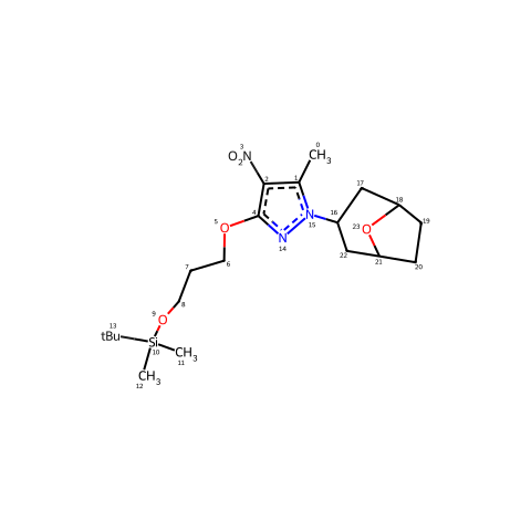 Cc1c([N+](=O)[O-])c(OCCCO[Si](C)(C)C(C)(C)C)nn1C1CC2CCC(C1)O2